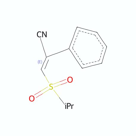 CC(C)S(=O)(=O)/C=C(/C#N)c1ccccc1